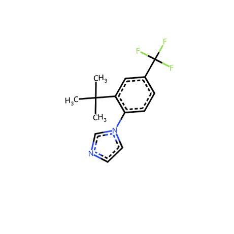 CC(C)(C)c1cc(C(F)(F)F)ccc1-n1ccnc1